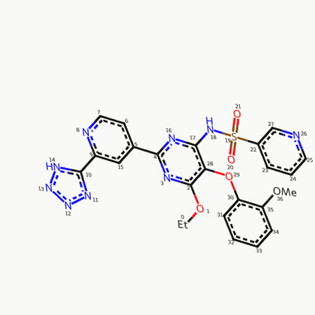 [CH2]COc1nc(-c2ccnc(-c3nnn[nH]3)c2)nc(NS(=O)(=O)c2cccnc2)c1Oc1ccccc1OC